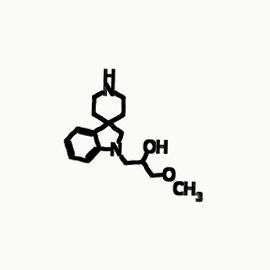 COCC(O)CN1CC2(CCNCC2)c2ccccc21